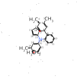 C=C/C=C\C(C=CC)c1ccccc1N(C1=C=CCC1)C(/C=C\C)=C/C(C)C